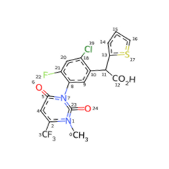 Cn1c(C(F)(F)F)cc(=O)n(-c2cc(C(C(=O)O)c3cccs3)c(Cl)cc2F)c1=O